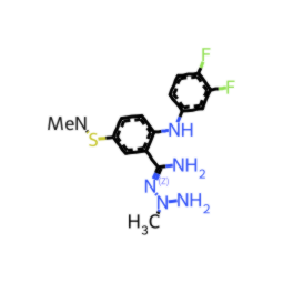 CNSc1ccc(Nc2ccc(F)c(F)c2)c(/C(N)=N/N(C)N)c1